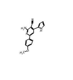 COc1ccc(-c2cc(-c3ccc[nH]3)c(C#N)c(N)n2)cc1